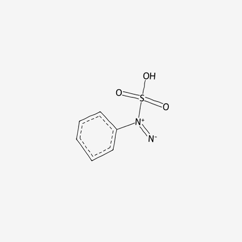 [N-]=[N+](c1ccccc1)S(=O)(=O)O